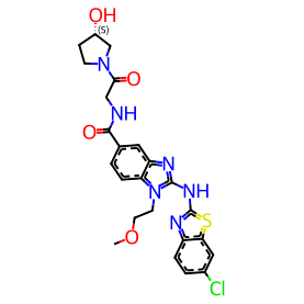 COCCn1c(Nc2nc3ccc(Cl)cc3s2)nc2cc(C(=O)NCC(=O)N3CC[C@H](O)C3)ccc21